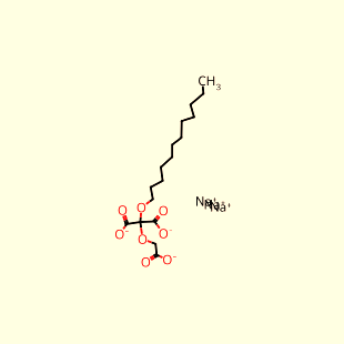 CCCCCCCCCCCCOC(OCC(=O)[O-])(C(=O)[O-])C(=O)[O-].[Na+].[Na+].[Na+]